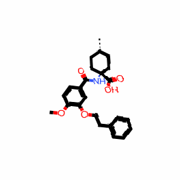 COc1ccc(C(=O)N[C@]2(C(=O)O)CC[C@H](C)CC2)cc1OCCc1ccccc1